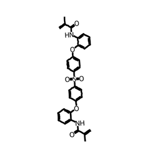 C=C(C)C(=O)Nc1ccccc1Oc1ccc(S(=O)(=O)c2ccc(Oc3ccccc3NC(=O)C(=C)C)cc2)cc1